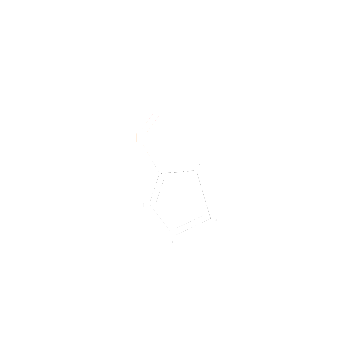 O=PC1=CC=CC1